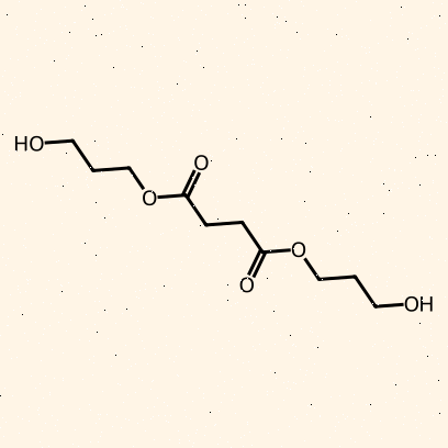 O=C(CCC(=O)OCCCO)OCCCO